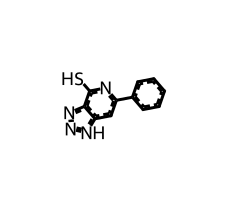 Sc1nc(-c2ccccc2)cc2[nH]nnc12